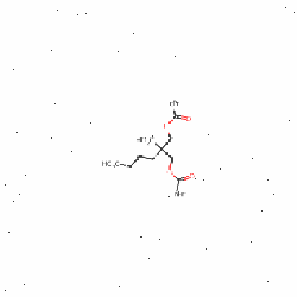 CCCC(=O)OCC(CCCC(=O)O)(COC(=O)CCC)C(=O)O